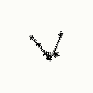 COC(=O)COCCOCCNC(=O)COCCOCCNC(=O)CCC(NC(=O)CCC(NC(=O)CCCCCCCCCCCCCCC(=O)OC(C)(C)C)C(=O)OC(C)(C)C)C(=O)OC(C)(C)C